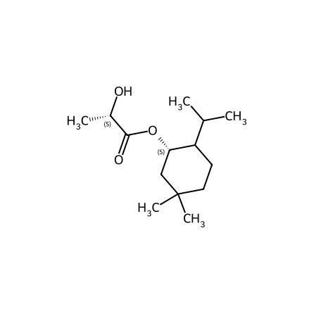 CC(C)C1CCC(C)(C)C[C@@H]1OC(=O)[C@H](C)O